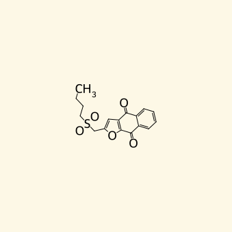 CCCCS(=O)(=O)Cc1cc2c(o1)C(=O)c1ccccc1C2=O